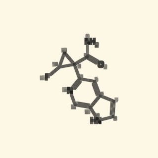 NC(=O)C1(c2cc3cc[nH]c3cn2)CC1F